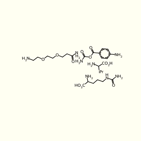 CC(C)C(N)C(=O)O.NC(=O)NCCCC(N)C(=O)O.NC(=O)OC(=O)c1ccc(N)cc1.NCCOCCOCCC(N)=O